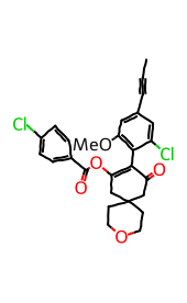 CC#Cc1cc(Cl)c(C2=C(OC(=O)c3ccc(Cl)cc3)CC3(CCOCC3)CC2=O)c(OC)c1